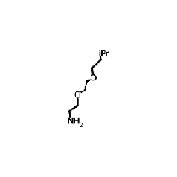 CC(C)CCOCCOCCN